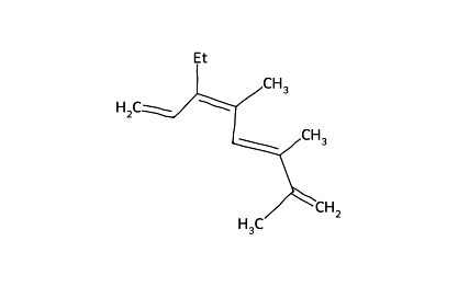 C=C/C(CC)=C(C)\C=C(/C)C(=C)C